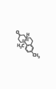 Cc1ccc2c(c1)CC[C@H]1CC(=O)CC[C@]21C